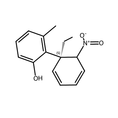 CC[C@@]1(c2c(C)cccc2O)C=CC=CC1[N+](=O)[O-]